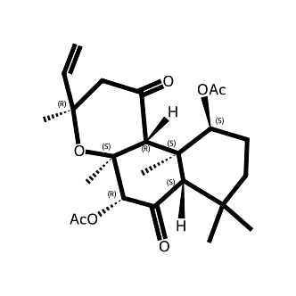 C=C[C@@]1(C)CC(=O)[C@H]2[C@](C)(O1)[C@@H](OC(C)=O)C(=O)[C@H]1C(C)(C)CC[C@H](OC(C)=O)[C@@]12C